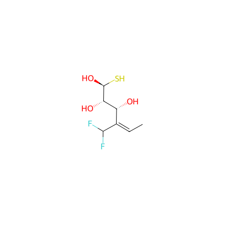 C/C=C(/C(F)F)[C@@H](O)[C@H](O)[C@@H](O)S